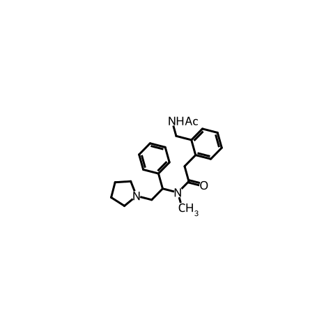 CC(=O)NCc1ccccc1CC(=O)N(C)C(CN1CCCC1)c1ccccc1